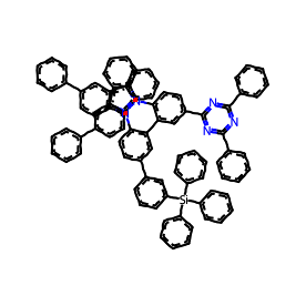 c1ccc(-c2ccc3c(c2)c2ccccc2n3-c2ccc(-c3cccc([Si](c4ccccc4)(c4ccccc4)c4ccccc4)c3)cc2-c2cc(-c3nc(-c4ccccc4)nc(-c4ccccc4)n3)ccc2-n2c3ccccc3c3cc(-c4ccccc4)ccc32)cc1